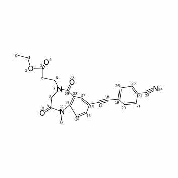 CCOC(=O)CCN1CC(=O)N(C)c2ccc(C#Cc3ccc(C#N)cc3)cc2C1=O